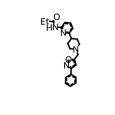 CCC(=O)Nc1cccc(C2CCN(Cc3cc(-c4ccccc4)no3)CC2)n1